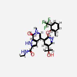 CCNC(=O)c1cc2c(-c3cc(C(C)(C)O)cnc3Oc3c(C)cccc3C(F)(F)F)cn(C)c(=O)c2[nH]1